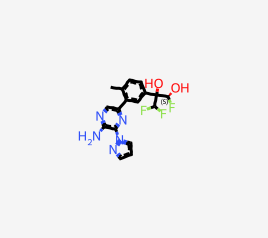 Cc1ccc(C(O)(C(F)F)[C@@H](O)F)cc1-c1cnc(N)c(-n2cccn2)n1